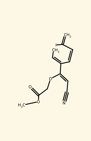 C=C(I)\C=C/C(=C\C)C(=C/C#N)/OCC(=O)OC